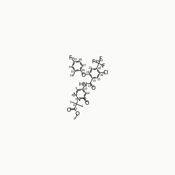 COC(=O)C(C)(C)n1ncc(NC(=O)c2cc(Cl)c(C(F)(F)F)cc2Oc2ccc(F)cc2C)cc1=O